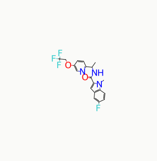 CC(NC(=O)c1cc2cc(F)ccc2n1C)c1ccc(OCC(F)(F)F)cn1